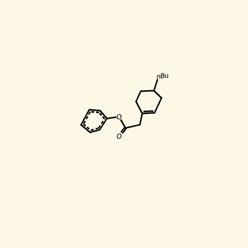 CCCCC1CC=C(CC(=O)Oc2ccccc2)CC1